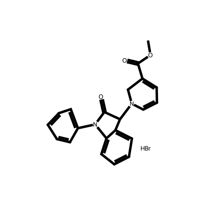 Br.COC(=O)C1=CC=CN(C2C(=O)N(c3ccccc3)c3ccccc32)C1